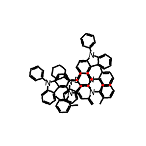 C=C(/C=C1\C2=C(C)N(c3c(C)cccc3C)c3c(ccc4c3c3ccccc3n4-c3ccccc3)B2c2ccc3c(c2N1c1c(C)cccc1C)c1ccccc1n3-c1ccccc1)N(c1c(C)cccc1C)c1cccc2c1c1ccccc1n2C1CCCCC1